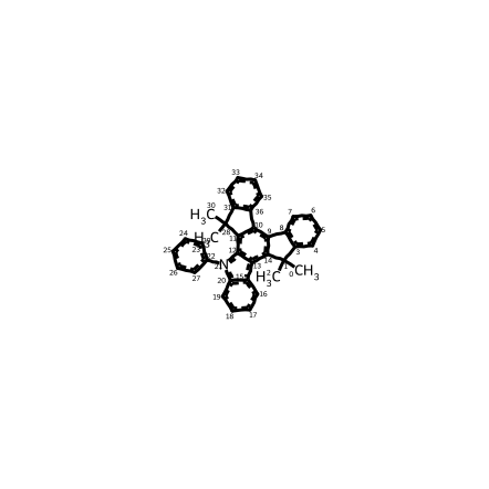 CC1(C)c2ccccc2-c2c3c(c4c(c21)c1ccccc1n4-c1ccccc1)C(C)(C)c1ccccc1-3